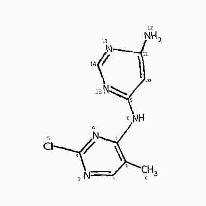 Cc1cnc(Cl)nc1Nc1cc(N)ncn1